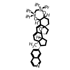 CC(C)[Si]1(C(C)C)C[Si](C(C)C)(C(C)C)O[C@@H]2CC[C@@]34CC[C@@]5(O3)C(=CC[C@]3(C)[C@@H](c6ccc7ccncc7c6)CC[C@H]35)C=C4[C@H]2O1